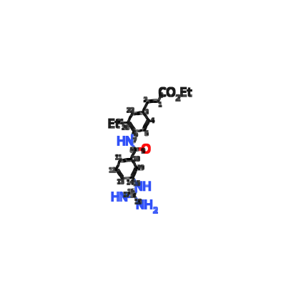 CCOC(=O)/C=C/c1ccc(NC(=O)c2cccc(NC(=N)N)c2)c(CC)c1